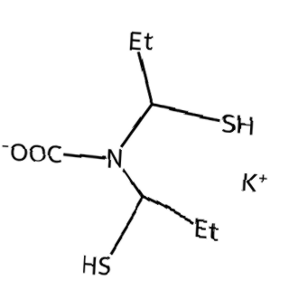 CCC(S)N(C(=O)[O-])C(S)CC.[K+]